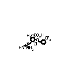 CC(=O)O.N=CN(N)N=Cc1cccc(OCc2cccc(C(F)(F)F)c2)c1Cl